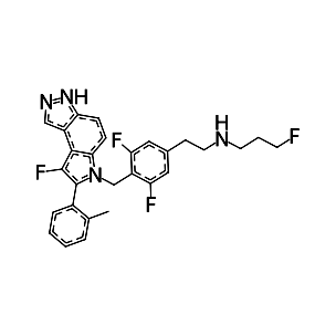 Cc1ccccc1-c1c(F)c2c3cn[nH]c3ccc2n1Cc1c(F)cc(CCNCCCF)cc1F